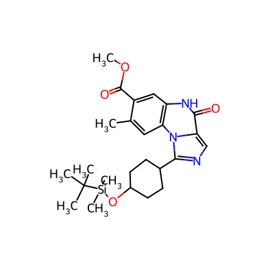 COC(=O)c1cc2[nH]c(=O)c3cnc(C4CCC(O[Si](C)(C)C(C)(C)C)CC4)n3c2cc1C